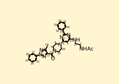 CC(=O)NCCNc1cc(N2CCN(C(=O)c3nn(-c4ccccc4)nc3C)CC2)nc(-c2ccccc2)n1